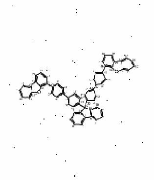 c1ccc2c(c1)-c1ccccc1C2(c1ccc(-c2ccc(-c3cccc4c3oc3ccccc34)cc2)cc1)c1ccc(-c2ccc(-c3cccc4c3oc3ccccc34)cc2)cc1